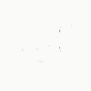 C=C1NC(O[C@@H]2CO[C@H]3[C@@H]2OC[C@H]3O)=N/C1=N/C